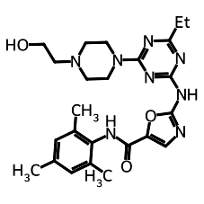 CCc1nc(Nc2ncc(C(=O)Nc3c(C)cc(C)cc3C)o2)nc(N2CCN(CCO)CC2)n1